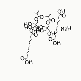 C=C(C)C(=O)OCC(CO)(CO)CO.C=C(C)C(=O)OCC(CO)(CO)CO.O=C(O)CCCCCCCCC(=O)O.O=C(O)CCCCCCCCC(=O)O.[NaH]